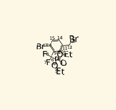 CCOP(=O)(OCC)C(F)(F)c1cc(CBr)ccc1Br